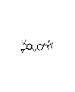 O=C(ON1CCC(Oc2ccc(C(F)(F)F)c(C3CC3)c2)CC1)C(F)(F)F